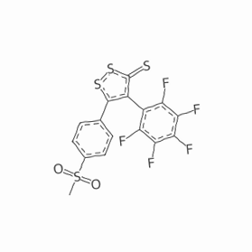 CS(=O)(=O)c1ccc(-c2ssc(=S)c2-c2c(F)c(F)c(F)c(F)c2F)cc1